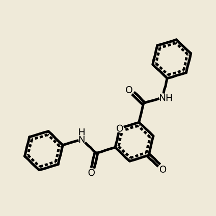 O=C(Nc1ccccc1)c1cc(=O)cc(C(=O)Nc2ccccc2)o1